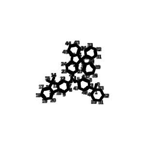 CC1(c2ccc(N(c3ccc4c(c3)C(C)(C)c3ccccc3-4)c3ccc4c(c3)C(c3ccccc3)(c3ccccc3)c3ccccc3-4)cc2)CCCCC1